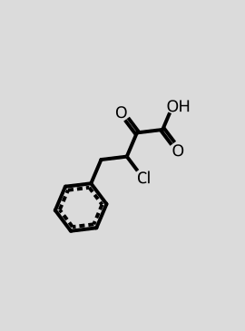 O=C(O)C(=O)C(Cl)Cc1ccccc1